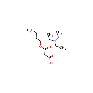 CCCCOC(=O)CC(=O)O.CCN(CC)CC